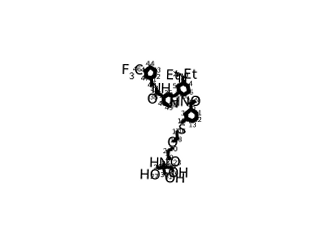 CCN(CC)c1ccc(NC(=O)c2cccc(CSCCOCCC(=O)NC(CO)(CO)CO)c2)c(-c2cc(C(=O)NCc3cccc(C(F)(F)F)c3)ccn2)c1